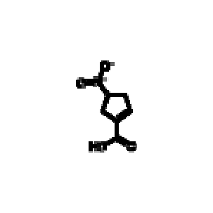 O=C(O)C1=CCC([N+](=O)[O-])C1